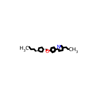 CCCCC[C@H]1CC[C@H](COc2ccc(-c3ccc(CCC)cn3)cc2)CC1